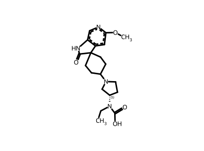 CCN(C(=O)O)[C@H]1CCN(C2CCC3(CC2)C(=O)Nc2cnc(OC)cc23)C1